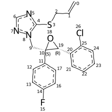 C=CCSc1ncnn1C[C@]1(c2ccc(F)cc2)O[C@@H]1c1ccccc1Cl